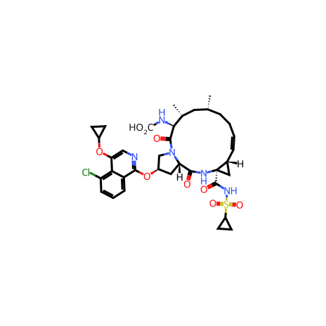 C[C@@H]1CCC=C[C@@H]2C[C@@]2(C(=O)NS(=O)(=O)C2CC2)NC(=O)[C@@H]2C[C@@H](Oc3ncc(OC4CC4)c4c(Cl)cccc34)CN2C(=O)[C@@H](NC(=O)O)[C@H](C)C1